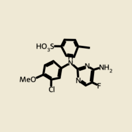 COc1ccc(Nc2ncc(F)c(N)n2)cc1Cl.Cc1ccc(S(=O)(=O)O)cc1